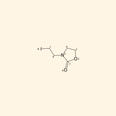 O=C1OCCN1CCI